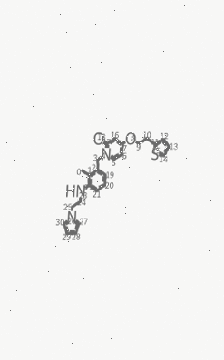 Cc1c(Cn2ccc(OCCc3cccs3)cc2=O)cccc1NCCn1cccc1